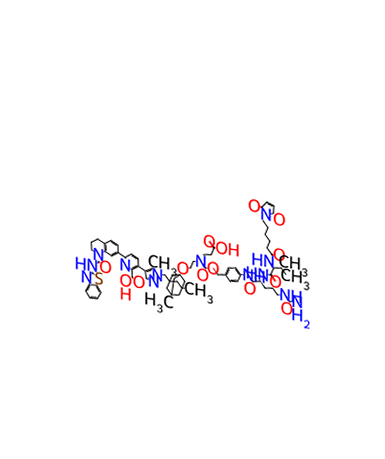 Cc1c(-c2ccc(-c3ccc4c(c3)N(C(=O)Nc3nc5ccccc5s3)CCC4)nc2C(=O)O)cnn1CC12CC3(C)CC(C)(C1)CC(OCCN(CCC(=O)O)C(=O)OCc1ccc(NC(=O)[C@H](CCCNC(N)=O)NC(=O)[C@@H](NC(=O)CCCCCN4C(=O)C=CC4=O)C(C)C)cc1)(C3)C2